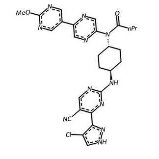 CCCC(=O)N(c1cnc(-c2cnc(OC)nc2)cn1)[C@H]1CC[C@H](Nc2ncc(C#N)c(-c3n[nH]cc3Cl)n2)CC1